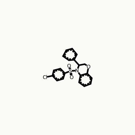 O=S(=O)(c1ccc(Cl)cc1)N1c2ccccc2OCC1c1ccccc1